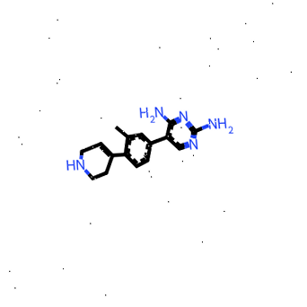 Cc1cc(-c2cnc(N)nc2N)ccc1C1=CCNCC1